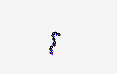 c1ccc(-c2ccc3ccc4ccc(-c5ccc(-c6ccc7ccc(-c8ccc9ccc(-c%10ncncn%10)nc9c8)nc7c6)cc5)nc4c3n2)cc1